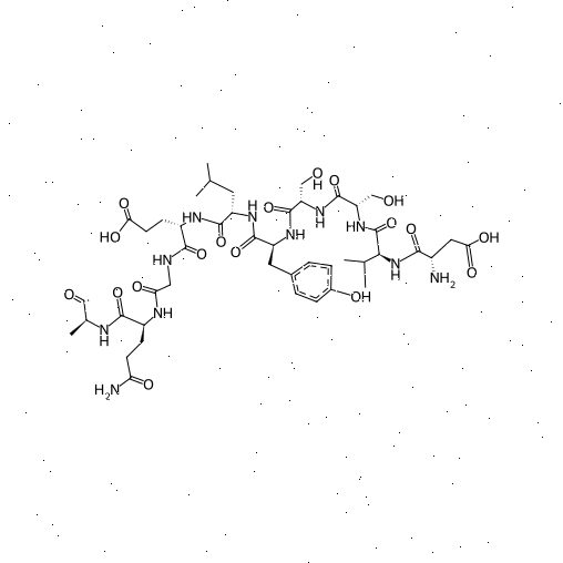 CC(C)C[C@H](NC(=O)[C@H](Cc1ccc(O)cc1)NC(=O)[C@H](CO)NC(=O)[C@H](CO)NC(=O)[C@@H](NC(=O)[C@@H](N)CC(=O)O)C(C)C)C(=O)N[C@@H](CCC(=O)O)C(=O)NCC(=O)N[C@@H](CCC(N)=O)C(=O)N[C@@H](C)[C]=O